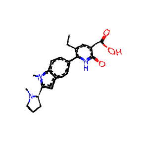 CCc1cc(C(=O)O)c(=O)[nH]c1-c1ccc2c(c1)cc([C@H]1CCCN1C)n2C